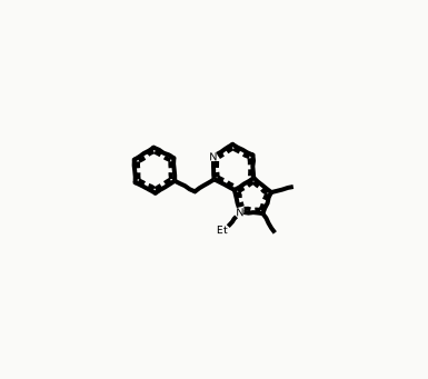 CCn1c(C)c(C)c2ccnc(Cc3ccccc3)c21